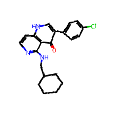 O=c1c(-c2ccc(Cl)cc2)c[nH]c2ccnc(NCC3CCCCC3)c12